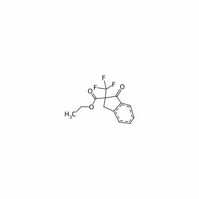 CCOC(=O)C1(C(F)(F)F)Cc2ccccc2C1=O